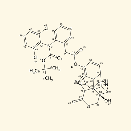 CC(C)(C)OC(=O)N(c1ccccc1CC(=O)OC1=C2OC3C(=O)CC[C@@]4(O)C5NCCC34C2C(C=C1)C5CC1CC1)c1c(Cl)cccc1Cl